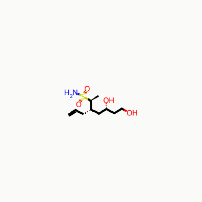 C=CC[C@@H](C[C@H](O)CCO)[C@H](C)S(N)(=O)=O